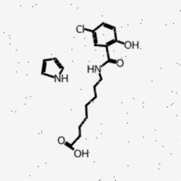 O=C(O)CCCCCCCNC(=O)c1cc(Cl)ccc1O.c1cc[nH]c1